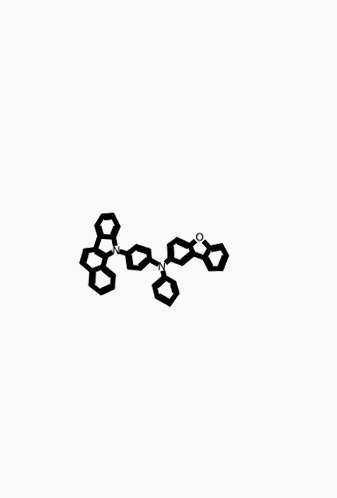 c1ccc(N(c2ccc(-n3c4ccccc4c4ccc5ccccc5c43)cc2)c2ccc3oc4ccccc4c3c2)cc1